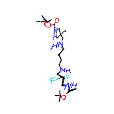 C=C(NCC(F)(F)CNCCCCNCC(C)(C)CNC(=O)OC(C)(C)C)OC(C)(C)C